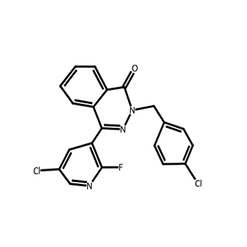 O=c1c2ccccc2c(-c2cc(Cl)cnc2F)nn1Cc1ccc(Cl)cc1